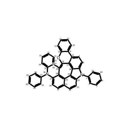 c1ccc(-n2c3ccc4c5ccccc5oc5c4c3c3c4c(ccc32)ccc2c4c5[n+]3ccccc3n2-c2ccccc2)cc1